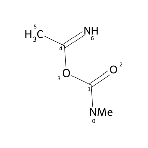 CNC(=O)OC(C)=N